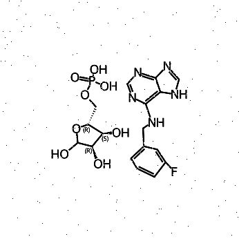 Fc1cccc(CNc2ncnc3nc[nH]c23)c1.O=P(O)(O)OC[C@H]1OC(O)[C@H](O)[C@@H]1O